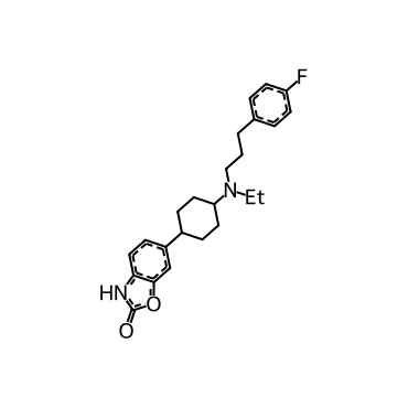 CCN(CCCc1ccc(F)cc1)C1CCC(c2ccc3[nH]c(=O)oc3c2)CC1